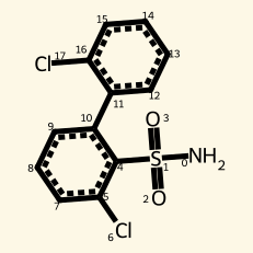 NS(=O)(=O)c1c(Cl)cccc1-c1ccccc1Cl